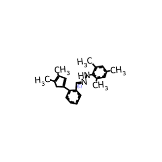 CC1=C(C)CC(c2ccccc2/C=N/Nc2c(C)cc(C)cc2C)=C1